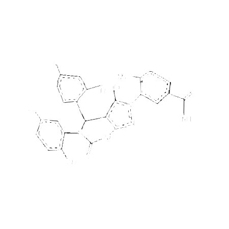 COc1ccc(C(N)=O)cc1-n1nc2c(c1C(C)C)C(c1ccc(Cl)cc1C)N(c1cc(Cl)ccc1C)C(=O)N2